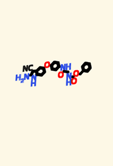 N#Cc1c(N)[nH]c2ccc(Oc3ccc(NC(=O)CNC(=O)OCc4ccccc4)cc3)cc12